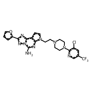 Nc1nc2c(ccn2CCN2CCN(c3ncc(C(F)(F)F)cc3Cl)CC2)c2nc(-c3ccco3)nn12